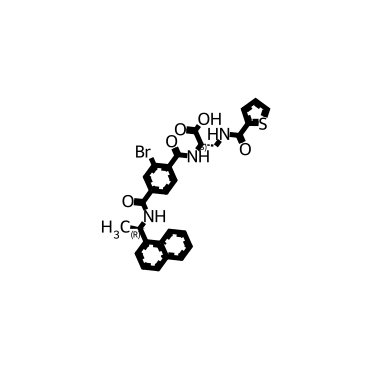 C[C@@H](NC(=O)c1ccc(C(=O)N[C@@H](CNC(=O)c2cccs2)C(=O)O)c(Br)c1)c1cccc2ccccc12